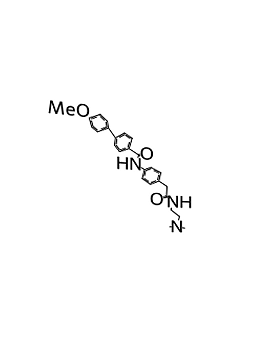 COc1ccc(-c2ccc(C(=O)Nc3ccc(CC(=O)NCCN(C)C)cc3)cc2)cc1